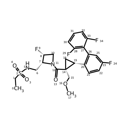 CCS(=O)(=O)NC[C@@H]1[C@H](F)CN1C(=O)[C@@]1(COC)C[C@@H]1c1ccc(F)cc1-c1c(F)cccc1F